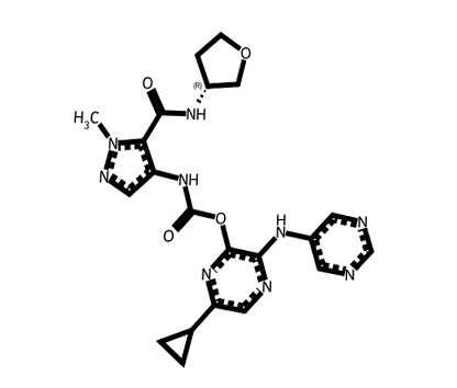 Cn1ncc(NC(=O)Oc2nc(C3CC3)cnc2Nc2cncnc2)c1C(=O)N[C@@H]1CCOC1